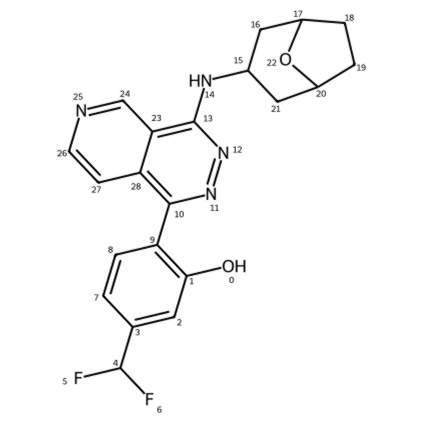 Oc1cc(C(F)F)ccc1-c1nnc(NC2CC3CCC(C2)O3)c2cnccc12